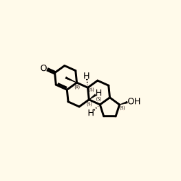 C[C@]12CCC(=O)C=C1CC[C@H]1[C@@H]3CC[C@H](O)C3CC[C@@H]12